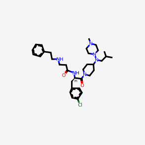 CC(C)CN(C1CCN(C(=O)[C@@H](Cc2ccc(Cl)cc2)NC(=O)CCNCCc2ccccc2)CC1)N1CCN(C)CC1